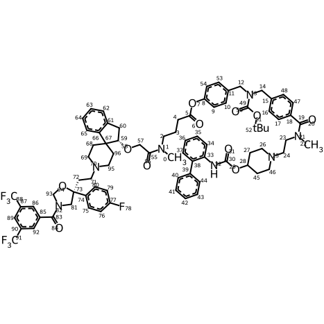 CN(CCCC(=O)Oc1ccc(CN(Cc2ccc(C(=O)N(C)CCN3CCC(OC(=O)Nc4ccccc4-c4ccccc4)CC3)cc2)C(=O)OC(C)(C)C)cc1)C(=O)CO[C@H]1Cc2ccccc2C12CCN(CC[C@]1(c3ccc(F)cc3)CN(C(=O)c3cc(C(F)(F)F)cc(C(F)(F)F)c3)CO1)CC2